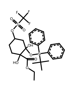 CCOC(=O)C1(O)CCC(OS(=O)(=O)C(F)(F)F)CC1(O)O[Si](c1ccccc1)(c1ccccc1)C(C)(C)C